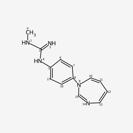 CNC(=N)Nc1ccc(N2C=CC=CN=C2)cc1